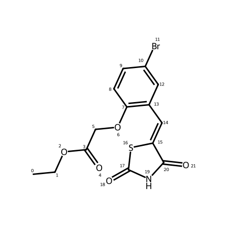 CCOC(=O)COc1ccc(Br)cc1/C=C1\SC(=O)NC1=O